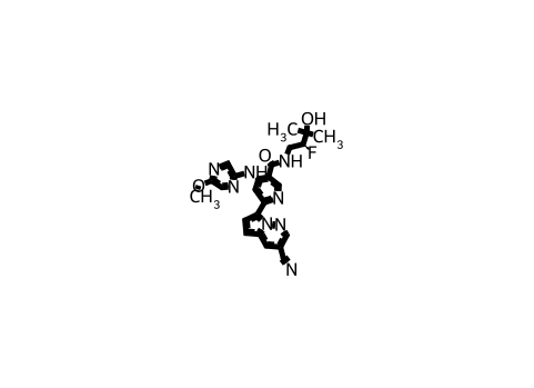 COc1cnc(Nc2cc(-c3ccc4cc(C#N)cnn34)ncc2C(=O)NC[C@@H](F)C(C)(C)O)cn1